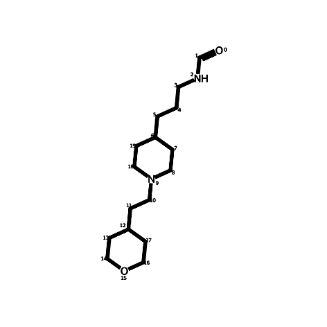 O=CNCCCC1CCN(CCC2CCOCC2)CC1